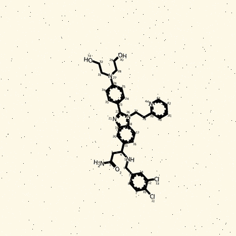 NC(=O)CC(NCc1ccc(Cl)c(Cl)c1)c1ccc2c(c1)nc(-c1ccc(N(CCO)CCO)cc1)n2CCc1ccccn1